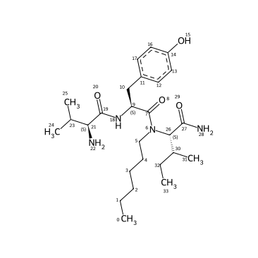 CCCCCCN(C(=O)[C@H](Cc1ccc(O)cc1)NC(=O)[C@@H](N)C(C)C)[C@H](C(N)=O)C(C)CC